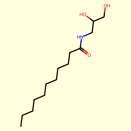 CCCCCCCCCCC(=O)NCC(O)CO